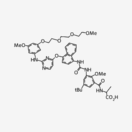 COCCOCCOCCOc1cc(Nc2nccc(Oc3ccc(NC(=O)Nc4cc(C(C)(C)C)cc(C(=O)NC(C)C(=O)O)c4OC)c4ccccc34)n2)cc(OC)c1